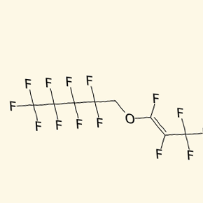 FC(OCC(F)(F)C(F)(F)C(F)(F)C(F)(F)F)=C(F)C(F)(F)F